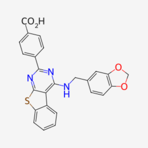 O=C(O)c1ccc(-c2nc(NCc3ccc4c(c3)OCO4)c3c(n2)sc2ccccc23)cc1